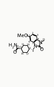 COc1ccc2c(c1)n(C[C@H]1CC[C@H](C(N)=O)CC1)c(=O)n2C